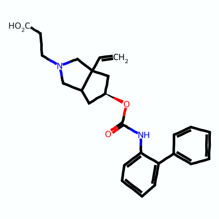 C=CC12C[C@@H](OC(=O)Nc3ccccc3-c3ccccc3)CC1CN(CCC(=O)O)C2